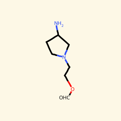 NC1CCN(CCOC=O)C1